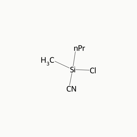 CCC[Si](C)(Cl)C#N